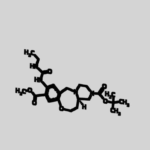 CCNC(=O)Nc1cc2c(cc1C(=O)OC)OCC[C@@H]1CN(C(=O)OC(C)(C)C)CCN1C2